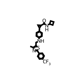 Cc1nc(-c2ccc(C(F)(F)F)cc2)sc1CNc1ccc(C2CC2C(=O)NC2CCC2)cc1